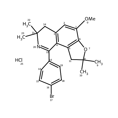 COc1cc2c(c3c1OC(C)(C)C3)C(c1ccc(Br)cc1)=NC(C)(C)C2.Cl